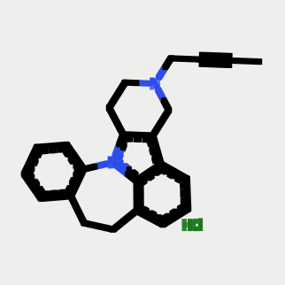 CC#CCN1CCc2c(c3cccc4c3n2-c2ccccc2CC4)C1.Cl